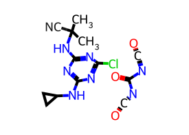 CC(C)(C#N)Nc1nc(Cl)nc(NC2CC2)n1.O=C=NC(=O)N=C=O